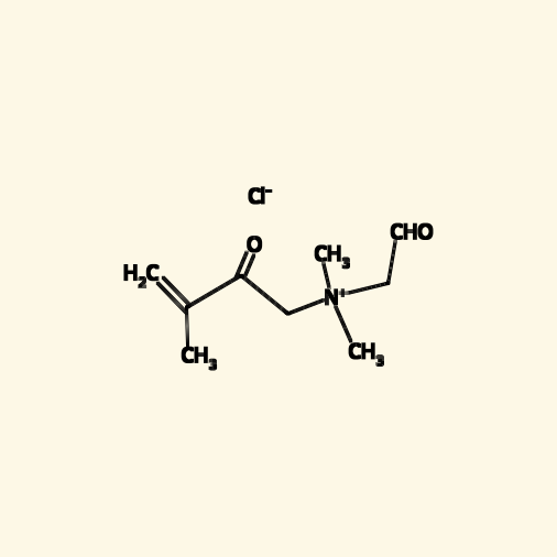 C=C(C)C(=O)C[N+](C)(C)CC=O.[Cl-]